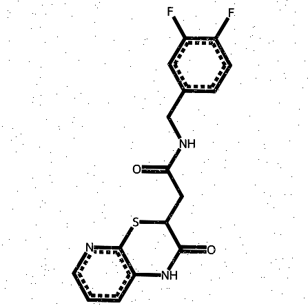 O=C(CC1Sc2ncccc2NC1=O)NCc1ccc(F)c(F)c1